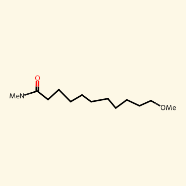 CNC(=O)CCCCCCCCCCOC